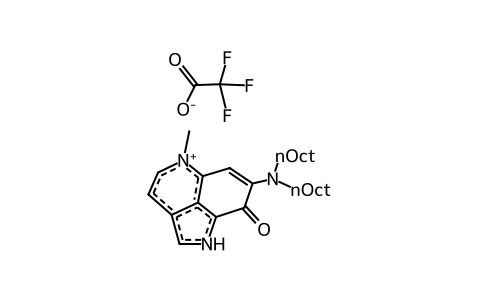 CCCCCCCCN(CCCCCCCC)C1=Cc2c3c([nH]cc3cc[n+]2C)C1=O.O=C([O-])C(F)(F)F